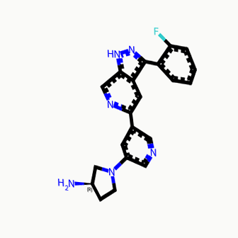 N[C@@H]1CCN(c2cncc(-c3cc4c(-c5ccccc5F)n[nH]c4cn3)c2)C1